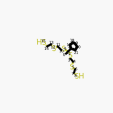 CC(SCCSCCS)(SCCSCCS)c1ccccc1